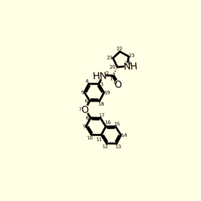 O=C(Nc1ccc(Oc2ccc3ccccc3c2)cc1)[C@@H]1CCCN1